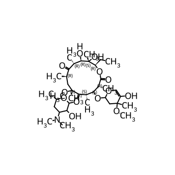 CC[C@H]1OC(=O)[C@H](C)[C@@H](OC2CC(C)(OC)C(O)=CO2)[C@H](C)[C@@H](OC2OC(C)CC(N(C)C)C2O)[C@](C)(OC)C[C@@H](C)C(=O)[C@H](C)[C@@H](O)[C@]1(C)O